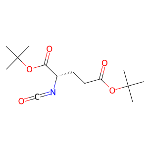 CC(C)(C)OC(=O)CC[C@H](N=C=O)C(=O)OC(C)(C)C